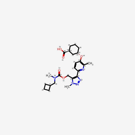 Cc1nc(-c2nnn(C)c2COC(=O)N(C)CC2CCC2)ccc1O[C@H]1CCC[C@H](C(=O)O)C1